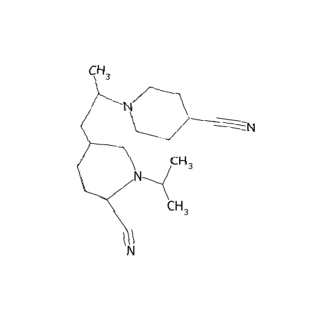 CC(CC1CCC(C#N)N(C(C)C)C1)N1CCC(C#N)CC1